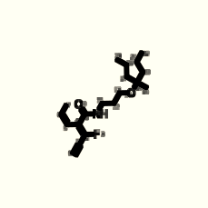 C#C/C(F)=C(\C=C/C)C(=O)NCCCOC(C)(CCC)CCC